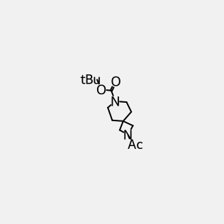 CC(=O)N1CC2(CCN(C(=O)OC(C)(C)C)CC2)C1